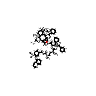 CC(=O)O[C@H]1C(=O)[C@@]2(C)[C@H]([C@H](OC(=O)c3ccccc3)[C@]3(O)C[C@H](OC(=O)[C@H](OC(=O)N(C)CCN(C)C(=O)OC(C)c4ccc([N+](=O)[O-])c(Oc5cccc6ncccc56)c4)[C@@H](NC(=O)c4ccccc4)c4ccccc4)C(C)=C1C3(C)C)[C@]1(OC(C)=O)CO[C@@H]1C[C@@H]2O